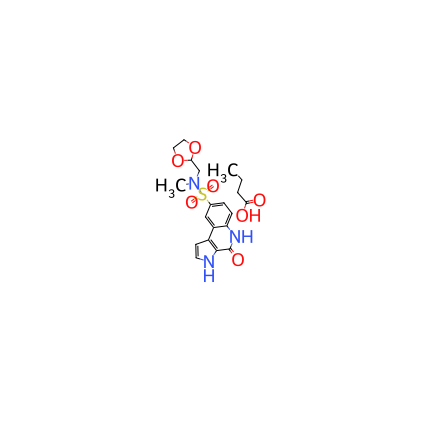 CCCC(=O)O.CN(CC1OCCO1)S(=O)(=O)c1ccc2[nH]c(=O)c3[nH]ccc3c2c1